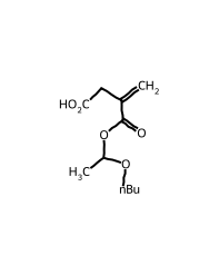 C=C(CC(=O)O)C(=O)OC(C)OCCCC